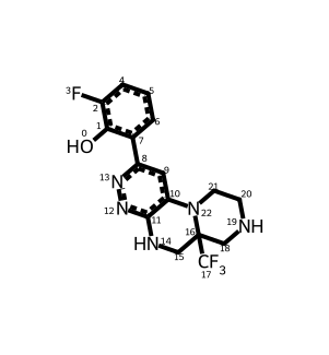 Oc1c(F)cccc1-c1cc2c(nn1)NCC1(C(F)(F)F)CNCCN21